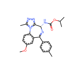 COc1ccc2c(c1)C(c1ccc(C)cc1)=N[C@@H](NC(=O)OC(C)C)c1nnc(C)n1-2